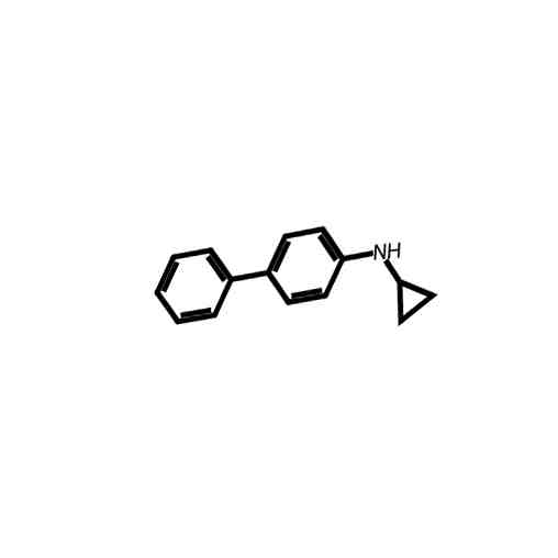 c1ccc(-c2ccc(NC3CC3)cc2)cc1